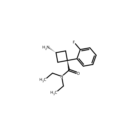 CCN(CC)C(=O)[C@]1(c2ccccc2F)C[C@@H](N)C1